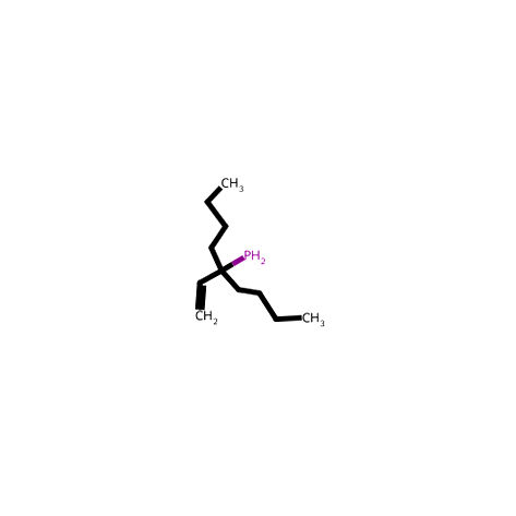 C=CC(P)(CCCC)CCCC